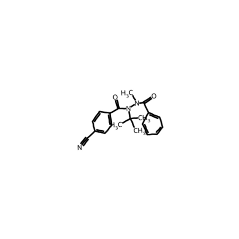 CN(C(=O)c1ccccc1)N(C(=O)c1ccc(C#N)cc1)C(C)(C)C